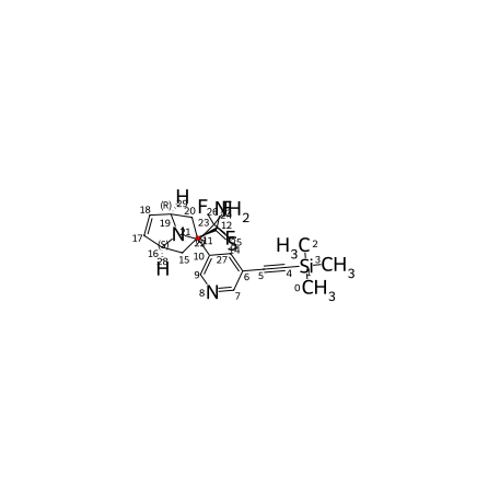 C[Si](C)(C)C#Cc1cncc([C@]2(C(N)=S)C[C@H]3C=C[C@@H](C2)N3CC(F)(F)F)c1